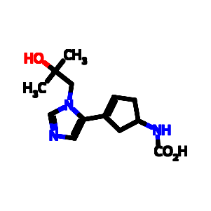 CC(C)(O)Cn1cncc1C1=CCC(NC(=O)O)C1